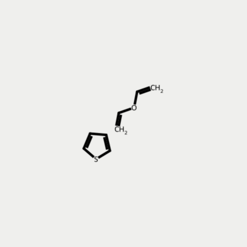 C=COC=C.c1ccsc1